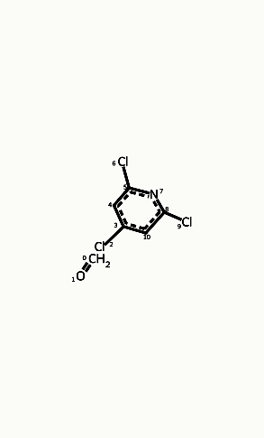 C=O.Clc1cc(Cl)nc(Cl)c1